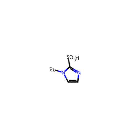 CCn1ccnc1S(=O)(=O)O